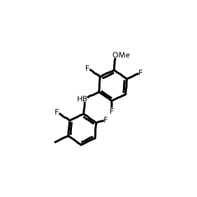 COc1c(F)cc(F)c(Bc2c(F)ccc(C)c2F)c1F